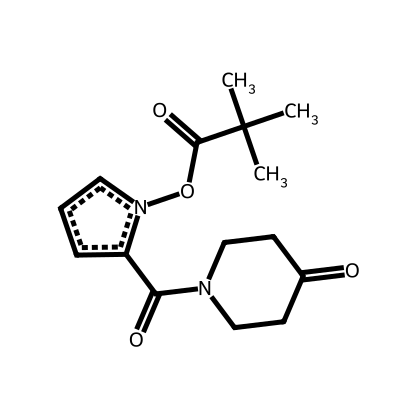 CC(C)(C)C(=O)On1cccc1C(=O)N1CCC(=O)CC1